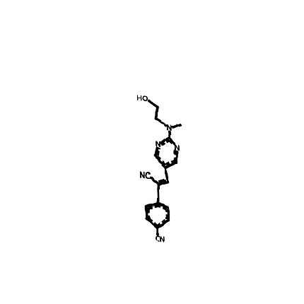 CN(CCO)c1ncc(/C=C(\C#N)c2ccc(C#N)cc2)cn1